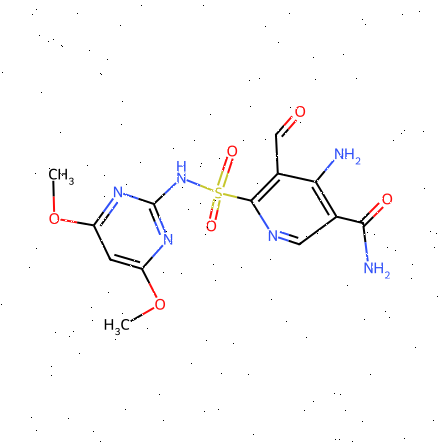 COc1cc(OC)nc(NS(=O)(=O)c2ncc(C(N)=O)c(N)c2C=O)n1